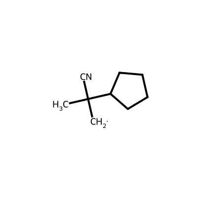 [CH2]C(C)(C#N)C1CCCC1